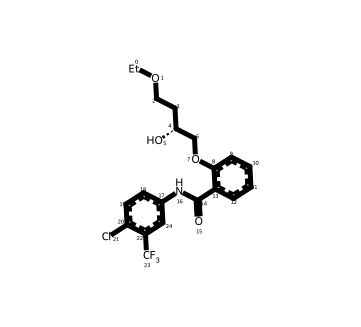 CCOCC[C@@H](O)COc1ccccc1C(=O)Nc1ccc(Cl)c(C(F)(F)F)c1